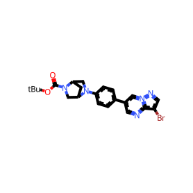 CC(C)(C)OC(=O)N1CC2CC1CN2c1ccc(-c2cnc3c(Br)cnn3c2)cc1